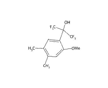 COc1cc(C)c(C)cc1C(O)(C(F)(F)F)C(F)(F)F